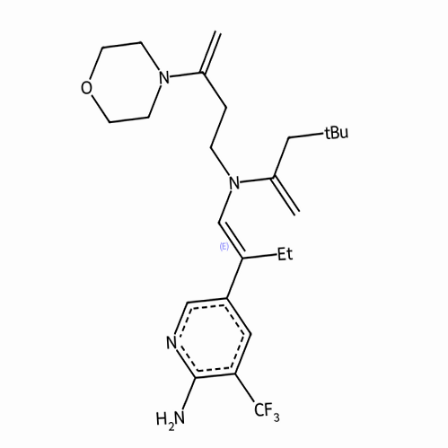 C=C(CC(C)(C)C)N(/C=C(\CC)c1cnc(N)c(C(F)(F)F)c1)CCC(=C)N1CCOCC1